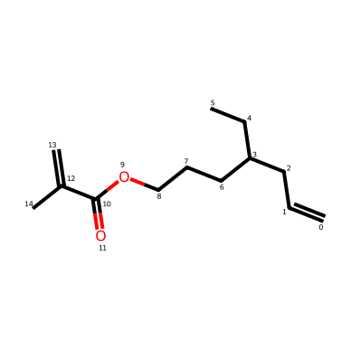 C=CCC(CC)CCCOC(=O)C(=C)C